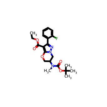 CCOC(=O)c1c(-c2ccccc2F)nn2c1OCC(N(C)C(=O)OC(C)(C)C)C2